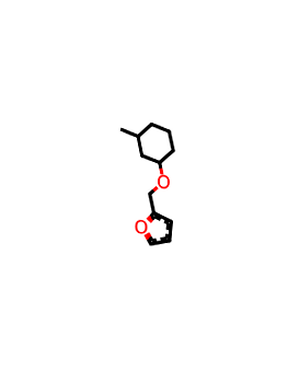 CC1CCCC(OCc2ccco2)C1